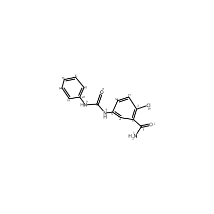 NC(=O)c1cc(NC(=O)Nc2ccccc2)ccc1Cl